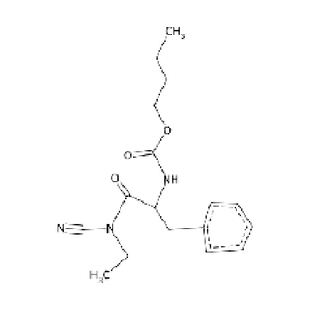 CCCCOC(=O)NC(Cc1ccccc1)C(=O)N(C#N)CC